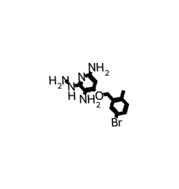 Cc1ccc(Br)cc1COc1cc(N)nc(NN)c1N